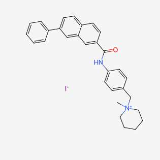 C[N+]1(Cc2ccc(NC(=O)c3ccc4ccc(-c5ccccc5)cc4c3)cc2)CCCCC1.[I-]